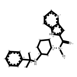 CCN(C(=O)c1cc2ncccc2[nH]1)[C@H]1CCCC(NC(C)(C)c2ccccc2)C1